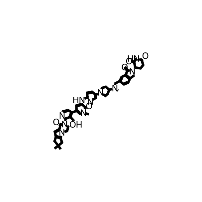 CN(Cc1ccc2c(c1)C(=O)N(C1CCC(=O)NC1=O)C2)C1CCN(c2ccc(Nc3cc(-c4ccnc(N5CCn6c(cc7c6CC(C)(C)C7)C5=O)c4CO)cn(C)c3=O)nc2)CC1